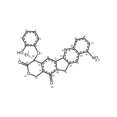 CC[C@@]1(Oc2ccccc2O)C(=O)OCc2c1cc1n(c2=O)Cc2cc3c([N+](=O)[O-])cccc3nc2-1